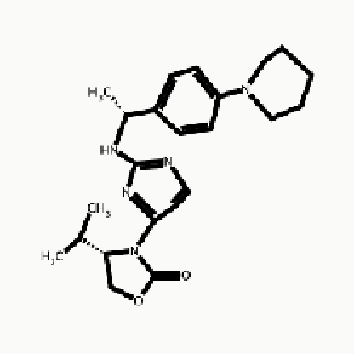 CC(C)[C@H]1COC(=O)N1c1ccnc(N[C@H](C)c2ccc(N3CCCCC3)cc2)n1